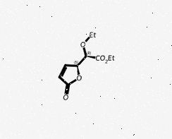 CCOC(=O)[C@H](OCC)[C@@H]1C=CC(=O)O1